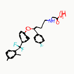 Cc1ccc(C(F)(F)c2ccc(OC(CCCNCC(=O)O)c3ccc(F)cc3)cc2)c(C)c1